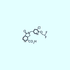 O=C(O)c1nccc2c1CN(Cc1cnc(OCC(F)F)c(Cl)c1)C2=O